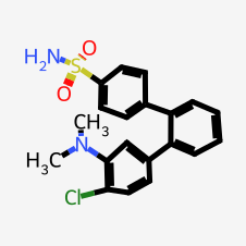 CN(C)c1cc(-c2ccccc2-c2ccc(S(N)(=O)=O)cc2)ccc1Cl